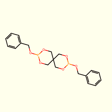 c1ccc(COP2OCC3(CO2)COP(OCc2ccccc2)OC3)cc1